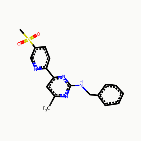 CS(=O)(=O)c1ccc(-c2cc(C(F)(F)F)nc(NCc3ccccc3)n2)nc1